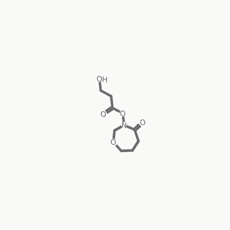 O=C(CCO)ON1COCCCC1=O